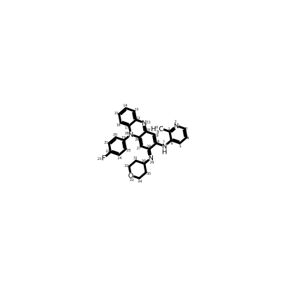 Cc1ncccc1Nc1cc2nc3ccccc3n(-c3ccc(F)cc3)c-2c/c1=N\C1CCOCC1